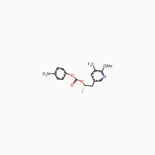 COc1ncc(C[C@H](C)OC(=O)Oc2ccc([N+](=O)[O-])cc2)cc1C(F)(F)F